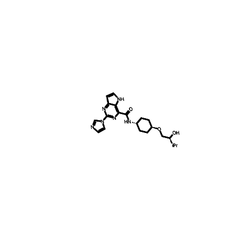 CC(C)[C@H](O)CO[C@H]1CC[C@H](NC(=O)c2nc(-n3ccnc3)nc3cc[nH]c23)CC1